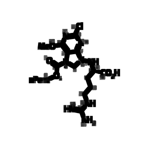 CCCCCOC(=O)N1CN(N[C@H](CCCNC(=N)N)C(=O)O)c2nc(Cl)nc(OC)c21